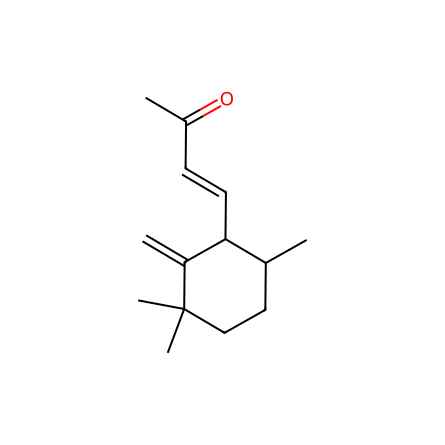 C=C1C(/C=C/C(C)=O)C(C)CCC1(C)C